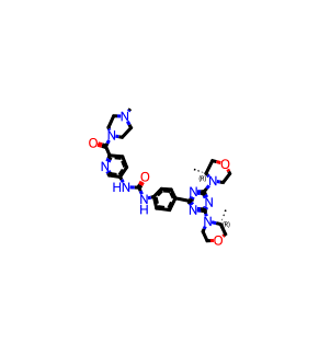 C[C@@H]1COCCN1c1nc(-c2ccc(NC(=O)Nc3ccc(C(=O)N4CCN(C)CC4)nc3)cc2)nc(N2CCOC[C@H]2C)n1